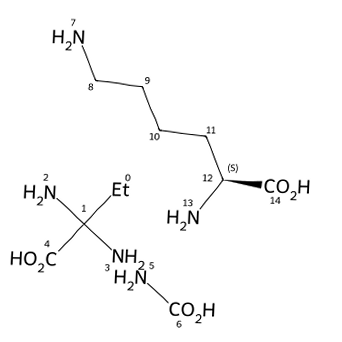 CCC(N)(N)C(=O)O.NC(=O)O.NCCCC[C@H](N)C(=O)O